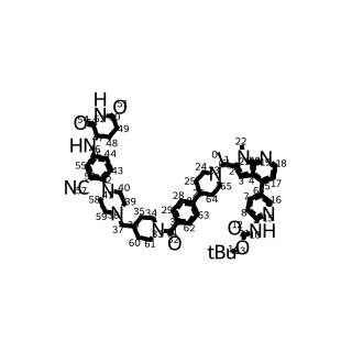 C[C@@H](c1cc2c(-c3ccc(NC(=O)OC(C)(C)C)nc3)ccnc2n1C)N1CCC(c2ccc(C(=O)N3CCC(CN4CCN(c5ccc(NC6CCC(=O)NC6=O)cc5C#N)CC4)CC3)cc2)CC1